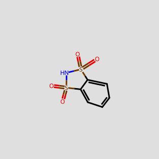 O=S1(=O)NS(=O)(=O)c2ccccc21